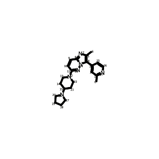 Cc1cc(-c2c(C)nc3ccc(N4CCC(N5CCCC5)CC4)nn23)ccn1